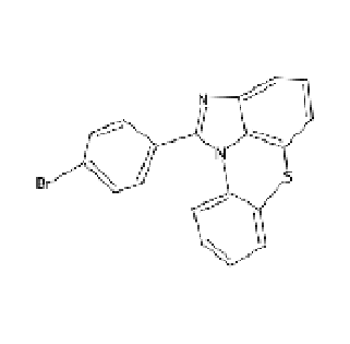 Brc1ccc(-c2nc3cccc4c3n2-c2ccccc2S4)cc1